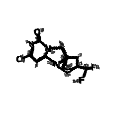 O=c1nc(Cl)cc2n1CC13CC(C(F)F)(CN21)C3